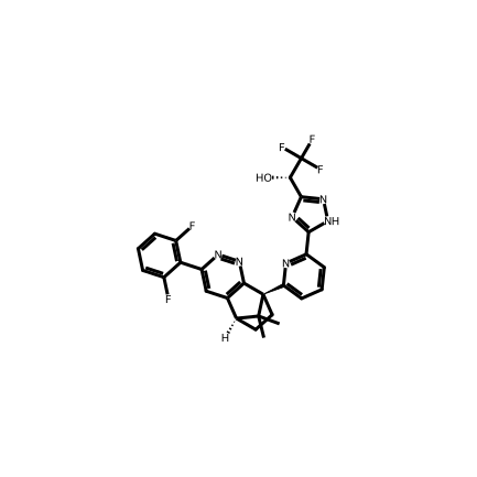 CC1(C)[C@H]2CC[C@@]1(c1cccc(-c3nc([C@H](O)C(F)(F)F)n[nH]3)n1)c1nnc(-c3c(F)cccc3F)cc12